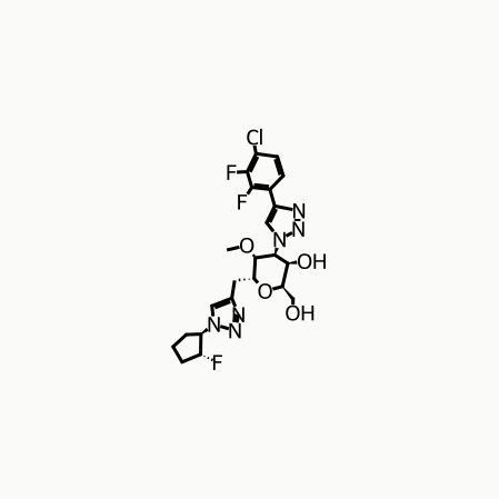 CO[C@@H]1[C@@H](n2cc(-c3ccc(Cl)c(F)c3F)nn2)[C@@H](O)[C@@H](CO)O[C@@H]1Cc1cn([C@@H]2CCC[C@H]2F)nn1